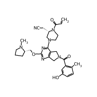 C=CC(=O)N1CCN(c2nc(OC[C@@H]3CCCN3C)nc3c2CN(C(=O)c2cc(O)ccc2C)C3)C[C@@H]1CC#N